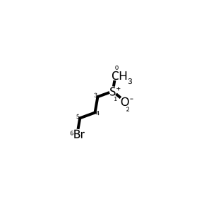 C[S+]([O-])CCCBr